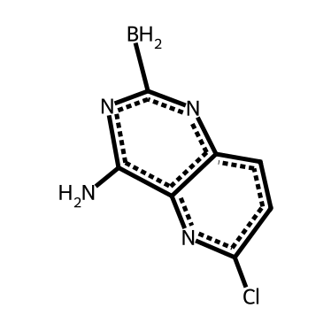 Bc1nc(N)c2nc(Cl)ccc2n1